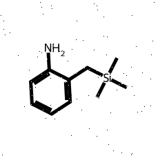 C[Si](C)(C)Cc1ccccc1N